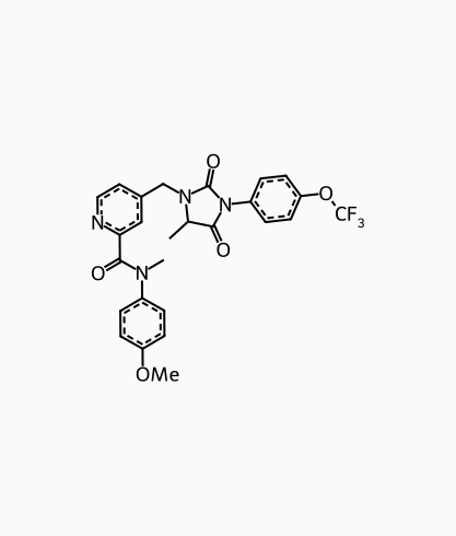 COc1ccc(N(C)C(=O)c2cc(CN3C(=O)N(c4ccc(OC(F)(F)F)cc4)C(=O)C3C)ccn2)cc1